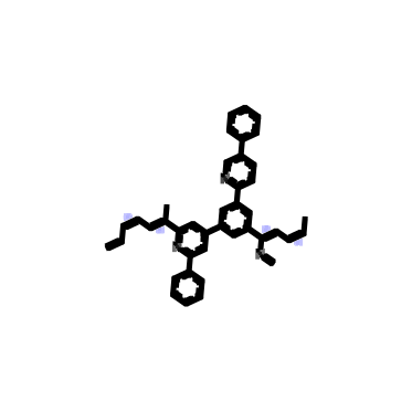 C=C/C=C\C=C(/C)c1cc(-c2cc(/C(=C/C=C\C)N=C)cc(-c3ccc(-c4ccccc4)cn3)c2)cc(-c2ccccc2)n1